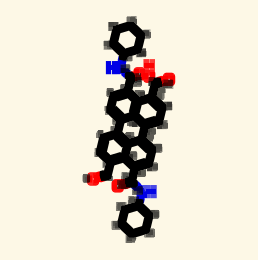 O=Cc1ccc2c3ccc(C(=O)NC4CCCCC4)c4c(C(=O)O)ccc(c5ccc(C(=O)NC6CCCCC6)c1c52)c43